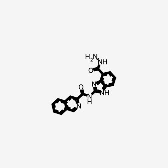 NNC(=O)c1cccc2[nH]c(NC(=O)c3cc4ccccc4cn3)nc12